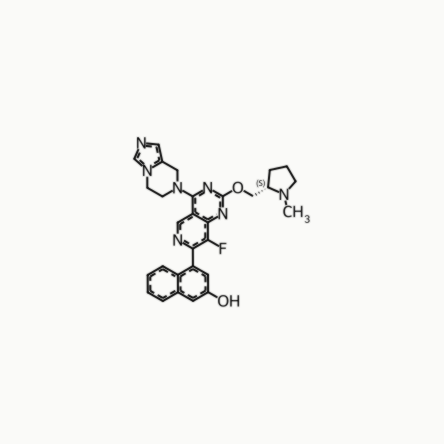 CN1CCC[C@H]1COc1nc(N2CCn3cncc3C2)c2cnc(-c3cc(O)cc4ccccc34)c(F)c2n1